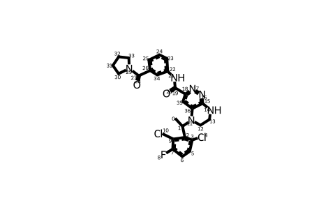 CC(c1c(Cl)ccc(F)c1Cl)N1CCNc2nnc(C(=O)Nc3cccc(C(=O)N4CCCC4)c3)cc21